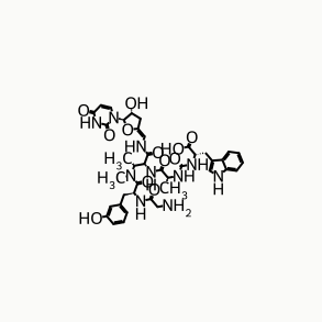 C[C@H](NC(=O)N[C@@H](Cc1c[nH]c2ccccc12)C(=O)O)C(=O)N[C@H](C(=O)N/C=C1/C[C@@H](O)[C@H](n2ccc(=O)[nH]c2=O)O1)[C@H](C)N(C)C(=O)[C@H](Cc1cccc(O)c1)NC(=O)CN